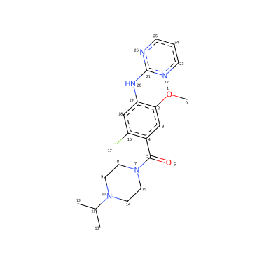 COc1cc(C(=O)N2CCN(C(C)C)CC2)c(F)cc1Nc1ncccn1